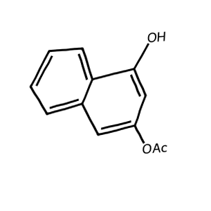 CC(=O)Oc1cc(O)c2ccccc2c1